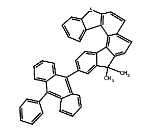 CC1(C)c2cc(-c3c4ccccc4c(-c4ccccc4)c4ccccc34)ccc2-c2c1ccc1ccc3sc4ccccc4c3c21